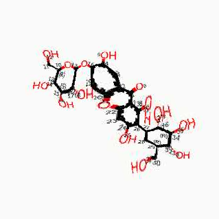 O=c1c2cc(O)c(OC3O[C@H](CO)[C@@H](O)[C@H](O)[C@H]3O)cc2oc2cc(O)c(C3C[C@H](CO)[C@@H](O)[C@H](O)[C@H]3O)c(O)c12